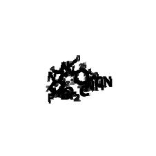 Cc1nc2cnc3cc(F)c(Br)cc3c2n1C1CCC(CC#N)(NC(=O)O)CC1